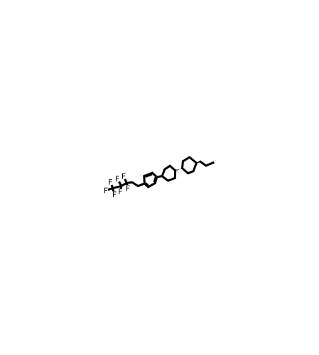 CCC[C@H]1CC[C@H](C2CCC(c3ccc(CCC(F)(F)C(F)(F)C(F)(F)F)cc3)CC2)CC1